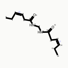 CC/C=C\CC(=O)NCNC(=O)C/C=C\CC